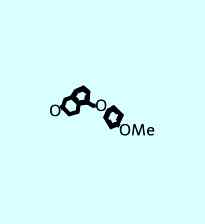 COc1ccc(OCc2cccc3c2CCC(=O)C3)cc1